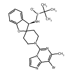 Cc1nc(N2CCC3(CC2)Oc2ccccc2[C@H]3N[S+]([O-])C(C)(C)C)n2ccnc2c1Br